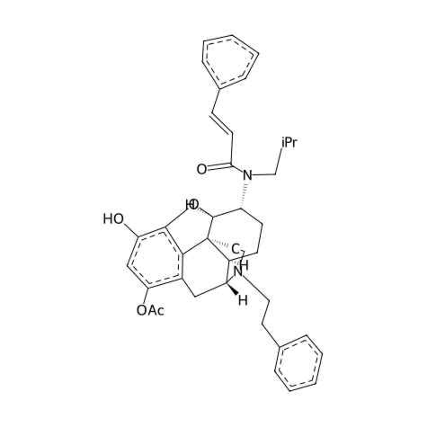 CC(=O)Oc1cc(O)c2c3c1C[C@@H]1[C@@H]4CC[C@@H](N(CC(C)C)C(=O)C=Cc5ccccc5)[C@H](O2)[C@]34CCN1CCc1ccccc1